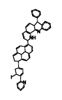 IC1CC(C2CC=C3C=CC4=C(C5C=CC6=C(N5)C5=Nc7ccccc7C(c7ccccc7)C5C=C6)C=CC5=CC=C2C3C54)=CC=C1c1ccccn1